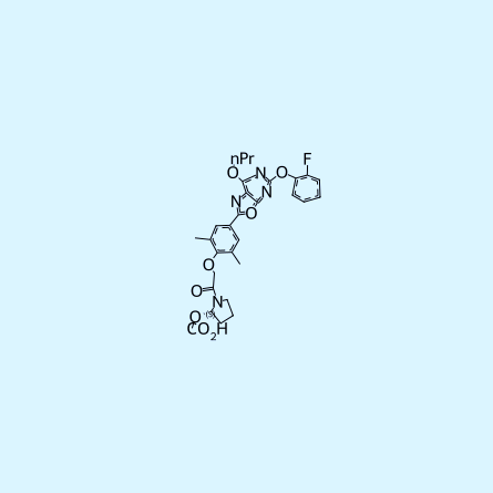 CCCOc1nc(Oc2ccccc2F)nc2oc(-c3cc(C)c(OCC(=O)N4CCC[C@@H]4OC(=O)O)c(C)c3)nc12